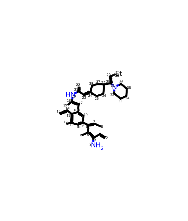 C=C/C(N)=C(C)\C(=C/C)c1cc(C)c(C=C)c(/C=C(\C)NC(=C)C=C2CCC(/C(=C/CC)N3CCCCC3)CC2)c1